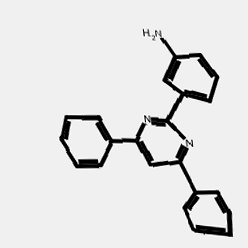 Nc1cccc(-c2nc(-c3ccccc3)cc(-c3ccccc3)n2)c1